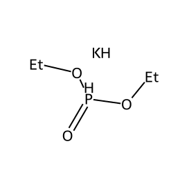 CCO[PH](=O)OCC.[KH]